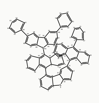 C1=CC2C(c3cccc4sc5ccc(-c6c7ccccc7c(-c7ccccc7)c7ccccc67)cc5c34)=c3ccccc3=C(n3c4ccc(-c5ccccc5)cc4c4cc(-c5ccccc5)ccc43)C2C=C1